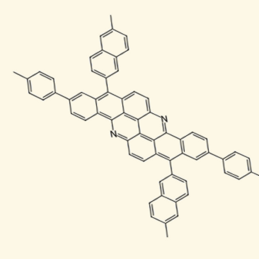 Cc1ccc(-c2ccc3c(c2)c(-c2ccc4cc(C)ccc4c2)c2ccc4nc5c6ccc(-c7ccc(C)cc7)cc6c(-c6ccc7cc(C)ccc7c6)c6ccc7nc3c2c4c7c65)cc1